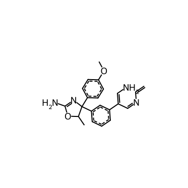 C=C/N=C\C(=C/N)c1cccc(C2(c3ccc(OC)cc3)N=C(N)OC2C)c1